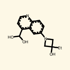 CCC1(O)CN(c2ccc3nccc(C(O)O)c3c2)C1